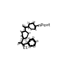 CCCCCC1CCC(C(C)C2CCC(C(C)C(CC)c3ccccc3)CC2)CC1